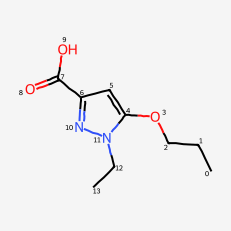 CCCOc1cc(C(=O)O)nn1CC